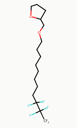 FC(F)(F)C(F)(F)C(F)(F)CCCCCCCCOCC1CCCO1